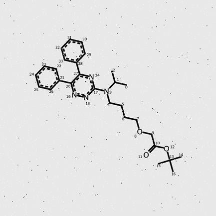 CC(C)N(CCCCOCC(=O)OC(C)(C)C)c1nnc(-c2ccccc2)c(-c2ccccc2)n1